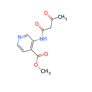 COC(=O)c1ccncc1NC(=O)CC(C)=O